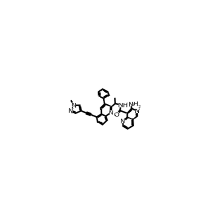 CC(NC(=O)c1c(N)ncc2cccnc12)c1nc2cccc(C#Cc3cnn(C)c3)c2cc1-c1ccccc1